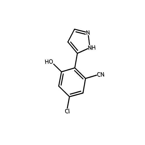 N#Cc1cc(Cl)cc(O)c1-c1ccn[nH]1